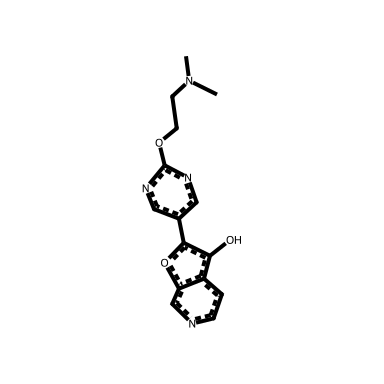 CN(C)CCOc1ncc(-c2oc3cnccc3c2O)cn1